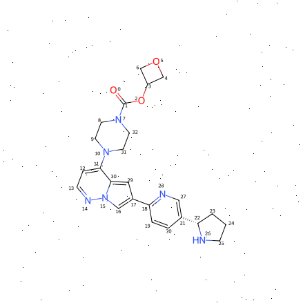 O=C(OC1COC1)N1CCN(c2ccnn3cc(-c4ccc([C@@H]5CCCN5)cn4)cc23)CC1